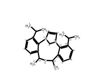 CC(C)c1cccc2c1N1C=CN(C1)c1c(C(C)C)cccc1C(C)CC2C